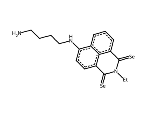 CCN1C(=[Se])c2cccc3c(NCCCCN)ccc(c23)C1=[Se]